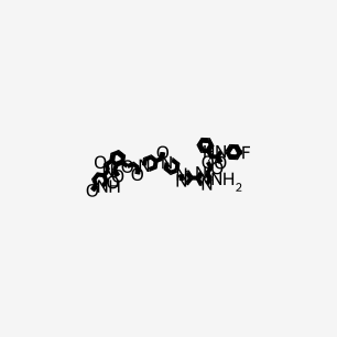 Nc1ncc(-c2cnn(C3CCN(C(=O)C4CCN(C(=O)COc5cccc6c5C(=O)N(C5CCC(=O)NC5=O)C6=O)CC4)CC3)c2)nc1C(=O)O[C@@H](C(=O)Nc1ccc(F)cc1)c1ccccc1